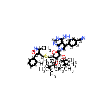 Cc1noc(-c2ccccc2)c1CSC[C@H]1O[C@@H](n2cc(-c3ccc(C#N)cc3)c3c(N)ncnc32)[C@H](O[Si](C)(C)C(C)(C)C)[C@@H]1O[Si](C)(C)C(C)(C)C